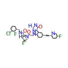 NC(=O)c1nn(CC(=O)N2C[C@H](F)C[C@H]2C(=O)NCc2cccc(Cl)c2F)c2ccc(C#Cc3ccc(F)cn3)cc12